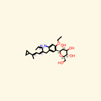 C\C=C/C(=C\C=C(/C)C1CC1)Cc1cc([C@@H]2O[C@H](CO)[C@@H](O)C(O)[C@H]2O)c(OCC)cc1N